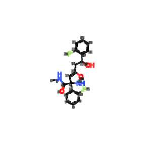 CNC(=O)C1(c2ccccc2F)C=C(CC(O)c2ccccc2F)ON1